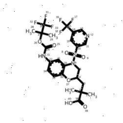 CC(C)(CC1CN(S(=O)(=O)c2cncc(C(F)(F)F)c2)c2cc(NC(=O)OC(C)(C)C(F)(F)F)ccc2O1)C(=O)O